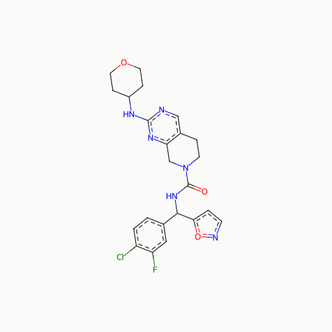 O=C(NC(c1ccc(Cl)c(F)c1)c1ccno1)N1CCc2cnc(NC3CCOCC3)nc2C1